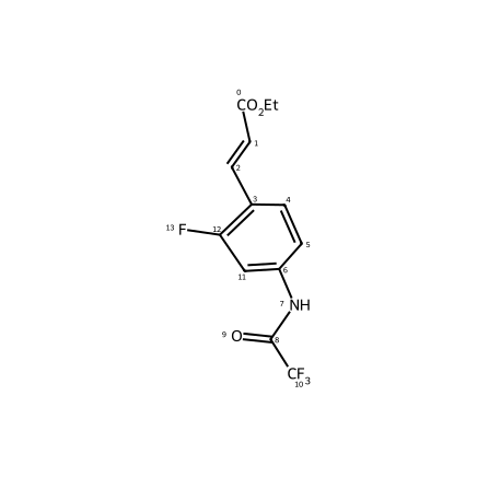 CCOC(=O)C=Cc1ccc(NC(=O)C(F)(F)F)cc1F